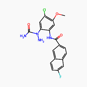 COc1cc(NC(=O)c2ccc3cc(F)ccc3c2)c(N(N)C(N)=O)cc1Cl